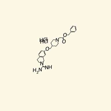 Cl.Cl.N=C(N)N1CCc2ccc(OCC3CCN(CC(=O)OCc4ccccc4)CC3)cc2C1